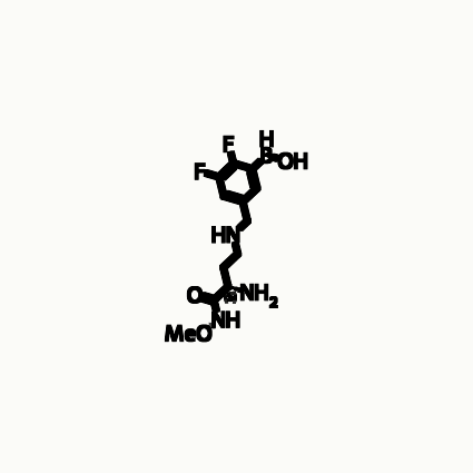 CONC(=O)[C@@H](N)CCNCc1cc(F)c(F)c(BO)c1